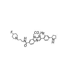 O=C(O)Cn1c2cc(C(=O)NCCCN3CCC(F)CC3)ccc2n2cc(-c3ccc([C@H]4CCCN4)cc3F)nc12